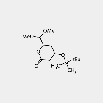 COC(OC)C1CC(O[Si](C)(C)C(C)(C)C)CC(=O)O1